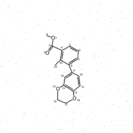 COC(=O)c1cccc(-c2ccc3c(c2)OCCO3)c1C